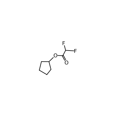 O=C(OC1CCCC1)C(F)F